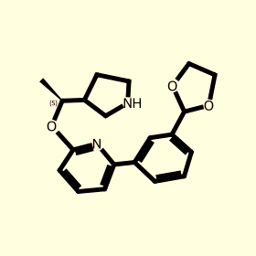 C[C@H](Oc1cccc(-c2cccc(C3OCCO3)c2)n1)C1CCNC1